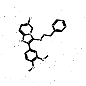 COc1ccc(C2=C(NCCc3ccccc3)N3CC(Cl)=CC=C3N2)cc1OC